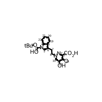 CC(C)(C)OC(O)n1cc(CCn2cc(O)c(=O)c(C(=O)O)n2)c2ccccc21